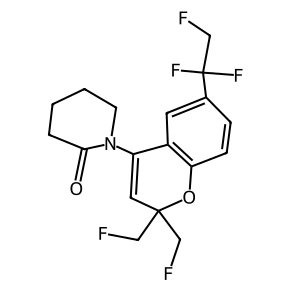 O=C1CCCCN1C1=CC(CF)(CF)Oc2ccc(C(F)(F)CF)cc21